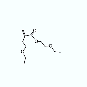 C=C(CCOCC)C(=O)OCCOCC